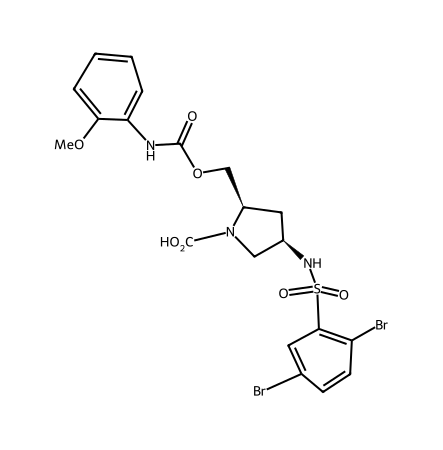 COc1ccccc1NC(=O)OC[C@H]1C[C@@H](NS(=O)(=O)c2cc(Br)ccc2Br)CN1C(=O)O